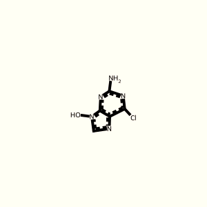 Nc1nc(Cl)c2ncn(O)c2n1